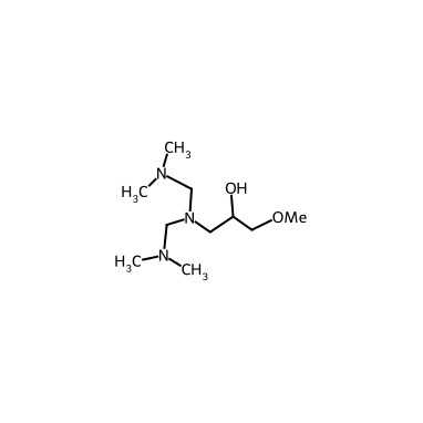 COCC(O)CN(CN(C)C)CN(C)C